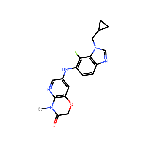 CCN1C(=O)COc2cc(Nc3ccc4ncn(CC5CC5)c4c3F)cnc21